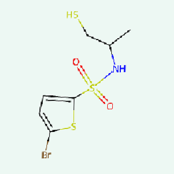 CC(CS)NS(=O)(=O)c1ccc(Br)s1